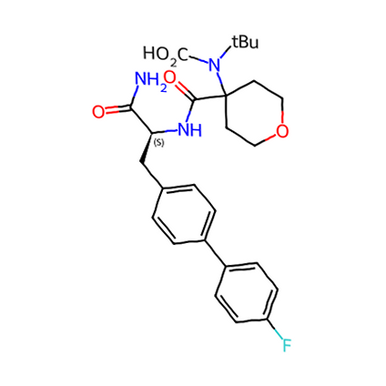 CC(C)(C)N(C(=O)O)C1(C(=O)N[C@@H](Cc2ccc(-c3ccc(F)cc3)cc2)C(N)=O)CCOCC1